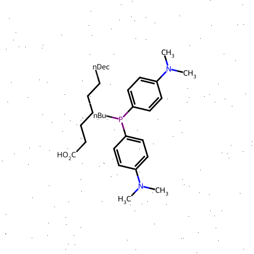 CCCCCCCCCCCCCCCC(=O)O.CCCCP(c1ccc(N(C)C)cc1)c1ccc(N(C)C)cc1